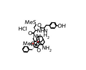 COC(=O)C12CC3CC(CC(N)(C3)C1C(=O)[C@H](Cc1ccccc1)N(C)C(=O)CNC(=O)[C@@H](CCSC)NC(=O)[C@@H](N)Cc1ccc(O)cc1)C2.Cl